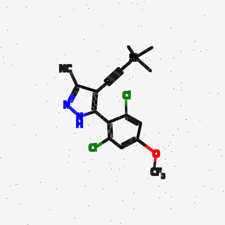 C[Si](C)(C)C#Cc1c(C#N)n[nH]c1-c1c(Cl)cc(OC(F)(F)F)cc1Cl